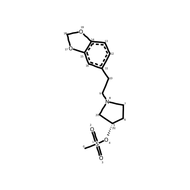 CS(=O)(=O)O[C@H]1CCN(CCc2ccc3c(c2)OCO3)C1